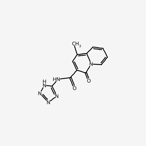 Cc1cc(C(=O)Nc2nnn[nH]2)c(=O)n2ccccc12